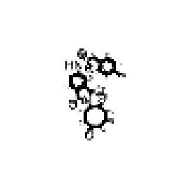 Cc1ccc(CS(=O)(=O)Nc2ccc3c(c2)C(=O)N(C2CCC(=O)CCCC2=O)C3=O)cc1